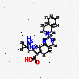 NC1(Cc2[nH]c3c(c2C(=O)O)CCc2cnc(N4CCc5ccccc5C4)nc2-3)CC1